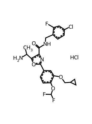 CC(N)c1oc(-c2ccc(OC(F)F)c(OCC3CC3)c2)nc1C(=O)NCc1ccc(Cl)cc1F.Cl